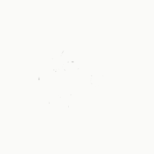 Cc1cn([C@H](CO[Si](C)(C)C(C)(C)C)C(C)C)c2cc(F)c(Cc3cccc(Cl)c3F)cc2c1=O